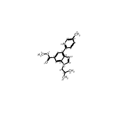 COC(=O)c1cc(-c2ccc(C)cn2)c2ncn(CC(C)C)c2c1